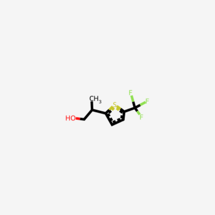 CC(CO)c1ccc(C(F)(F)F)s1